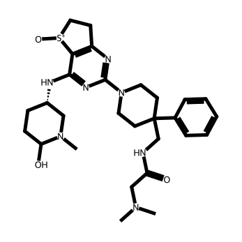 CN(C)CC(=O)NCC1(c2ccccc2)CCN(c2nc3c(c(N[C@H]4CCC(O)N(C)C4)n2)[S+]([O-])CC3)CC1